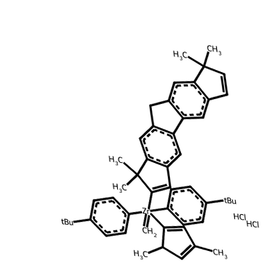 Cl.Cl.[CH2]=[Zr]([C]1=CC(C)=CC1C)([C]1=Cc2cc3c(cc2C1(C)C)Cc1cc2c(cc1-3)C=CC2(C)C)([c]1ccc(C(C)(C)C)cc1)[c]1ccc(C(C)(C)C)cc1